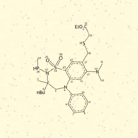 CCCCC1(C)CN(c2ccccc2)c2cc(N(C)C)c(CSCC(=O)OCC)cc2S(=O)(=O)N1PC